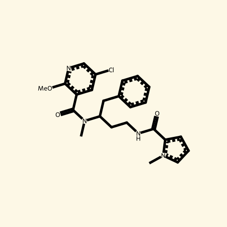 COc1ncc(Cl)cc1C(=O)N(C)C(CCNC(=O)c1cccn1C)Cc1ccccc1